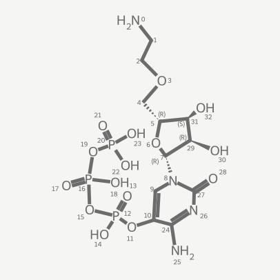 NCCOC[C@H]1O[C@@H](n2cc(OP(=O)(O)OP(=O)(O)OP(=O)(O)O)c(N)nc2=O)[C@H](O)[C@@H]1O